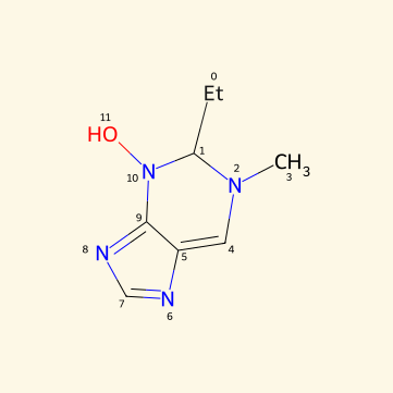 CCC1N(C)C=C2N=CN=C2N1O